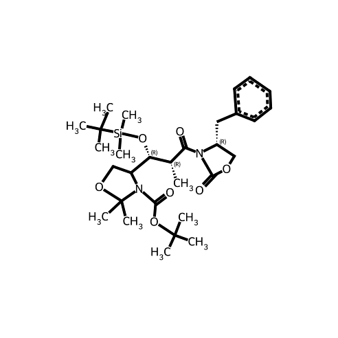 C[C@@H](C(=O)N1C(=O)OC[C@H]1Cc1ccccc1)[C@@H](O[Si](C)(C)C(C)(C)C)C1COC(C)(C)N1C(=O)OC(C)(C)C